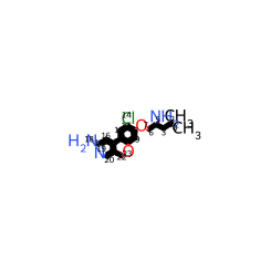 CC(C)CC(N)COc1cc2c(cc1Cl)-c1cc(N)ncc1CO2